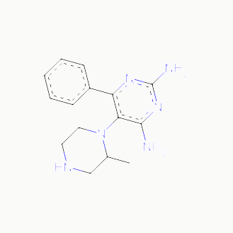 CC1CNCCN1c1c(N)nc(N)nc1-c1ccccc1